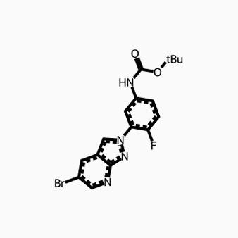 CC(C)(C)OC(=O)Nc1ccc(F)c(-n2cc3cc(Br)cnc3n2)c1